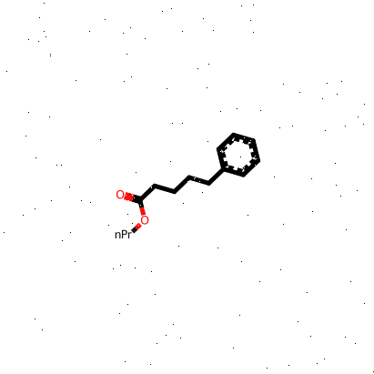 CCCOC(=O)CCCCc1ccccc1